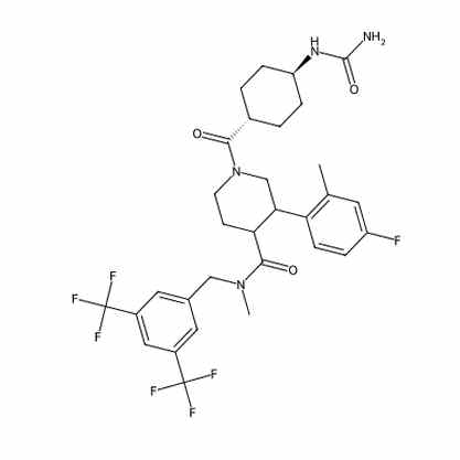 Cc1cc(F)ccc1C1CN(C(=O)[C@H]2CC[C@H](NC(N)=O)CC2)CCC1C(=O)N(C)Cc1cc(C(F)(F)F)cc(C(F)(F)F)c1